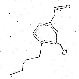 CCCCc1ccc(C=O)cc1Cl